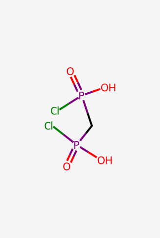 O=P(O)(Cl)CP(=O)(O)Cl